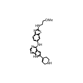 COCCNc1nc2ccc(Nc3ncnc4[nH]c(C5=CCNCC5)cc34)cc2s1